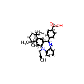 C#CCN1c2ccccc2N=C(c2ccc(C(=O)O)cc2)c2cc3c(cc21)C(C)(C)CCC3(C)C